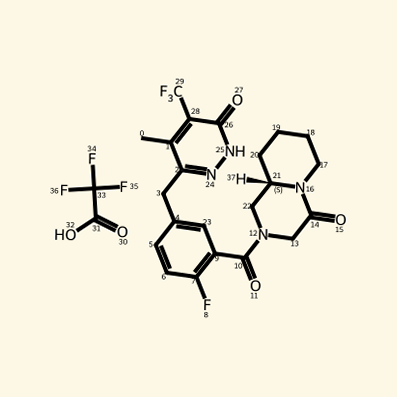 Cc1c(Cc2ccc(F)c(C(=O)N3CC(=O)N4CCCC[C@H]4C3)c2)n[nH]c(=O)c1C(F)(F)F.O=C(O)C(F)(F)F